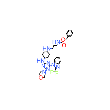 O=C(NCCCN[C@H]1CC[C@H](Nc2nc(N3CCOCC3)nc(-n3c(C(F)F)nc4ccccc43)n2)CC1)OCc1ccccc1